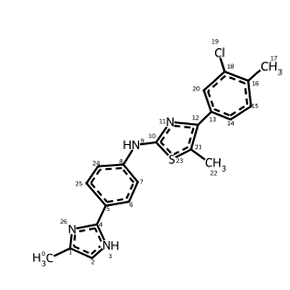 Cc1c[nH]c(-c2ccc(Nc3nc(-c4ccc(C)c(Cl)c4)c(C)s3)cc2)n1